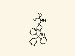 COC(=O)N[C@@H]1CC[C@H](NC(c2ccccc2)(c2ccccc2)c2ccccc2)C1